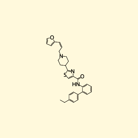 CCc1ccc(-c2ccccc2NC(=O)c2csc(C3CCN(C/C=C\c4ccco4)CC3)n2)cc1